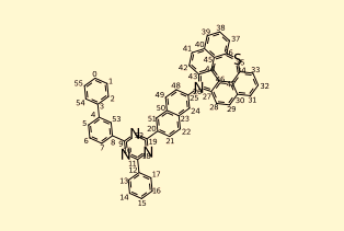 c1ccc(-c2cccc(-c3nc(-c4ccccc4)nc(-c4ccc5cc(-n6c7ccc8cccc9sc%10cccc%11ccc6c(c%11%10)c7c89)ccc5c4)n3)c2)cc1